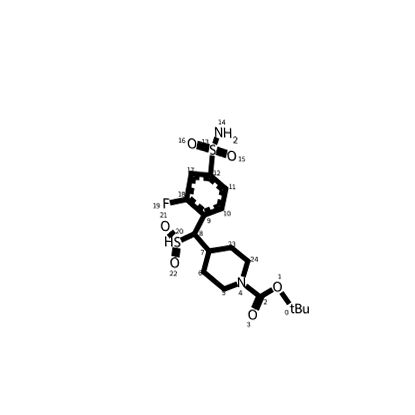 CC(C)(C)OC(=O)N1CCC(C(c2ccc(S(N)(=O)=O)cc2F)[SH](=O)=O)CC1